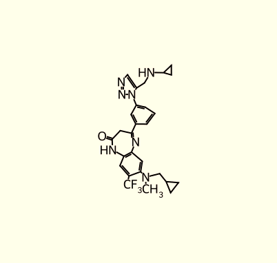 CN(CC1CC1)c1cc2c(cc1C(F)(F)F)NC(=O)CC(c1cccc(-n3nncc3CNC3CC3)c1)=N2